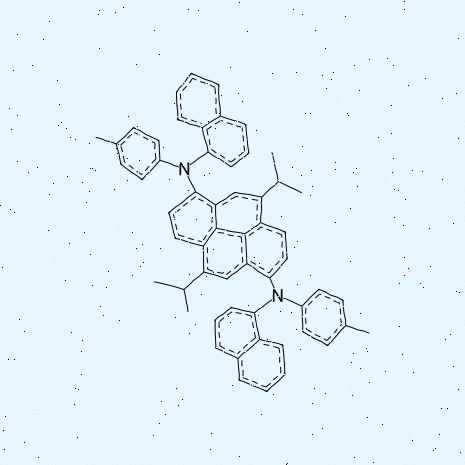 Cc1ccc(N(c2cccc3ccccc23)c2ccc3c(C(C)C)cc4c(N(c5ccc(C)cc5)c5cccc6ccccc56)ccc5c(C(C)C)cc2c3c54)cc1